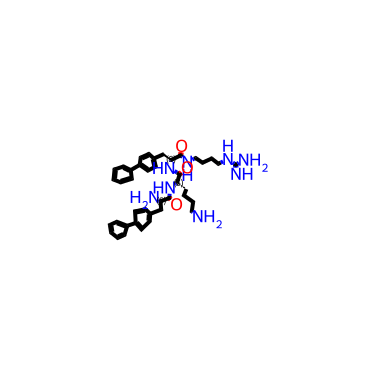 N=C(N)NCCCCNC(=O)[C@H](Cc1ccc(-c2ccccc2)cc1)NC(=O)[C@H](CCCCN)NC(=O)[C@@H](N)Cc1ccc(-c2ccccc2)cc1